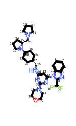 FC(F)c1nc2ccccc2n1-c1cc(NC[C@H]2CC[C@H](N3CCC[C@H]3CN3CCCC3)CC2)nc(N2CCOCC2)n1